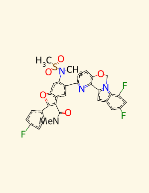 CNC(=O)c1c(-c2ccc(F)cc2)oc2cc(N(C)S(C)(=O)=O)c(-c3ccc4c(n3)-c3cc5cc(F)cc(F)c5n3CO4)cc12